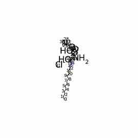 CCCCCCCCCCCCC/C=C/[C@H](O)[C@H](N)COP(=O)(O)OCC[N+](C)(C)C.[Cl-]